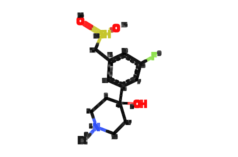 CCN1CCC(O)(c2cc(F)cc(C[SH](=O)=O)c2)CC1